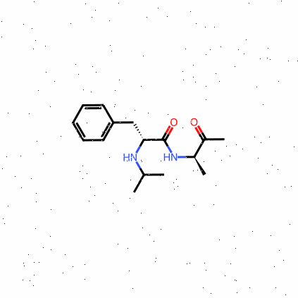 CC(=O)[C@@H](C)NC(=O)[C@@H](Cc1ccccc1)NC(C)C